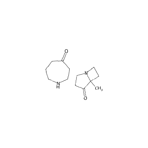 CC12CCN1CCC2=O.O=C1CCCNCC1